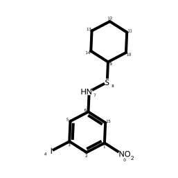 O=[N+]([O-])c1cc(I)cc(NSC2CCCCC2)c1